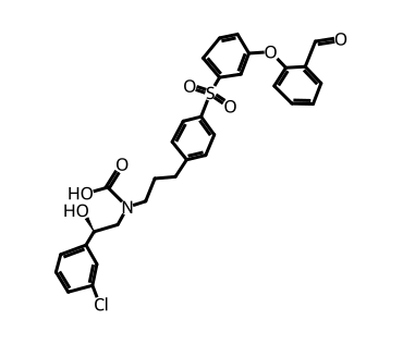 O=Cc1ccccc1Oc1cccc(S(=O)(=O)c2ccc(CCCN(C[C@H](O)c3cccc(Cl)c3)C(=O)O)cc2)c1